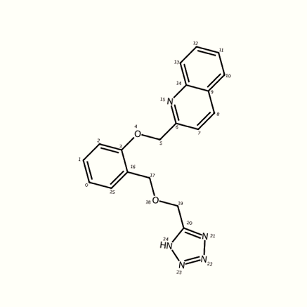 c1ccc(OCc2ccc3ccccc3n2)c(COCc2nnn[nH]2)c1